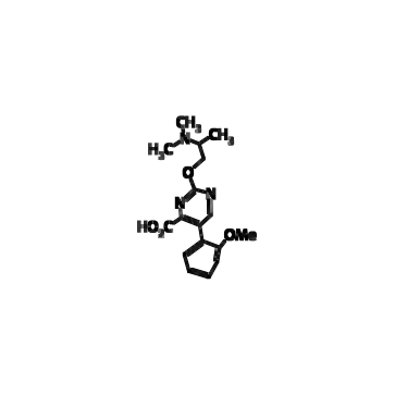 COc1ccccc1-c1cnc(OCC(C)N(C)C)nc1C(=O)O